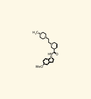 COc1ccc2c(ccn2NC(=O)C2C=CCN(CCN3CCN(C)CC3)C2)c1